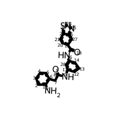 Nc1ccccc1CC(=O)Nc1cccc(NC(=O)c2ccc3snnc3c2)c1